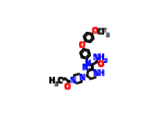 C=CC(=O)N1CCN([C@H]2CCNc3c2nn(-c2ccc(Oc4ccc(OC(F)(F)F)cc4)cc2)c3C(N)=O)CC1